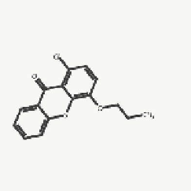 CCCOc1ccc(Cl)c2c(=O)c3ccccc3sc12